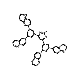 Cc1nc(-c2cc(-c3ccc4ncccc4c3)cc(-c3ccc4ncccc4c3)c2)cc(-c2cc(-c3ccc4ncccc4c3)cc(-c3ccc4ncccc4c3)c2)n1